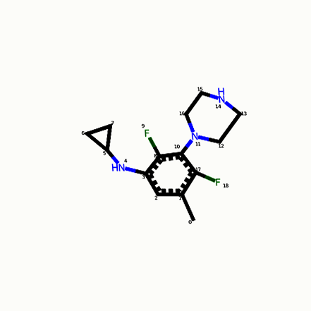 Cc1cc(NC2CC2)c(F)c(N2CCNCC2)c1F